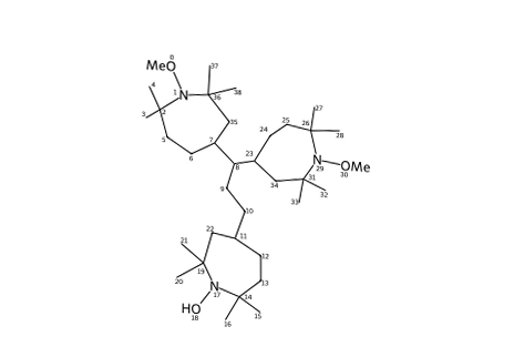 CON1C(C)(C)CCC(C(CCC2CCC(C)(C)N(O)C(C)(C)C2)C2CCC(C)(C)N(OC)C(C)(C)C2)CC1(C)C